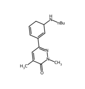 CCCCNC1C=C(c2cc(C)c(=O)n(C)n2)C=CC1